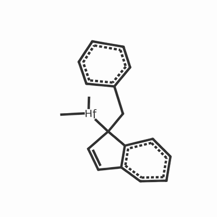 [CH3][Hf]([CH3])[C]1(Cc2ccccc2)C=Cc2ccccc21